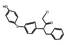 O=C(CCl)N(Cc1ccccc1)c1ccc(Oc2ccc(O)cc2)cc1